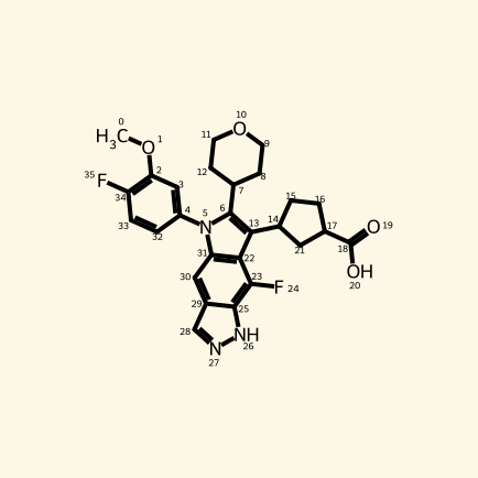 COc1cc(-n2c(C3CCOCC3)c(C3CCC(C(=O)O)C3)c3c(F)c4[nH]ncc4cc32)ccc1F